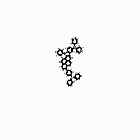 c1ccc(N(c2ccccc2)c2ccc(-c3ccc4ccc5c6c(ccc3c46)cc3c4cc(N(c6ccncc6)c6ccncc6)ccc4n(-c4ccccc4)c35)cc2)cc1